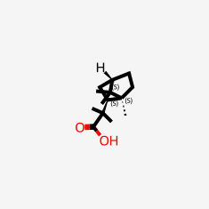 CC(C)(C(=O)O)[C@H]1C[C@@H]2CC[C@]1(C)C2(C)C